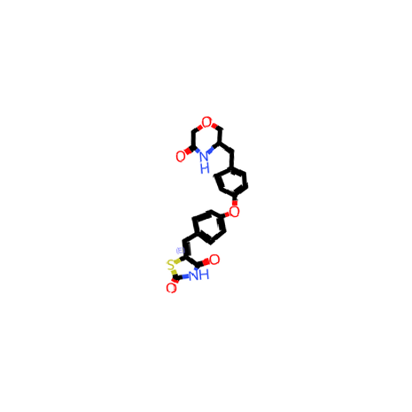 O=C1COCC(Cc2ccc(Oc3ccc(/C=C4/SC(=O)NC4=O)cc3)cc2)N1